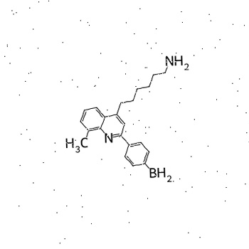 Bc1ccc(-c2cc(CCCCCCN)c3cccc(C)c3n2)cc1